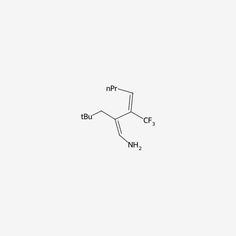 CCC/C=C(\C(=C/N)CC(C)(C)C)C(F)(F)F